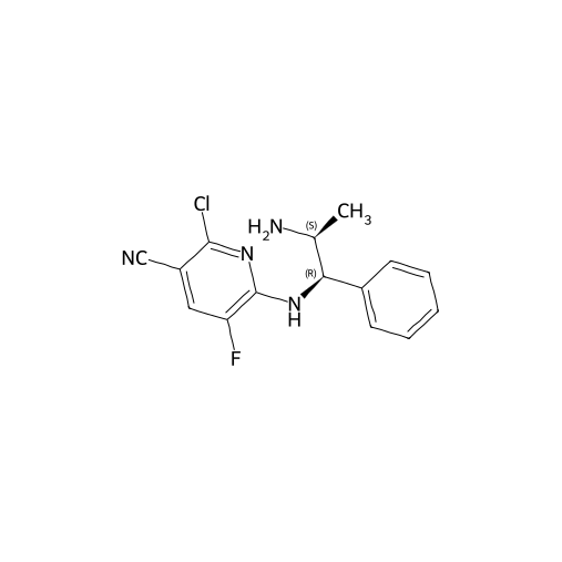 C[C@H](N)[C@H](Nc1nc(Cl)c(C#N)cc1F)c1ccccc1